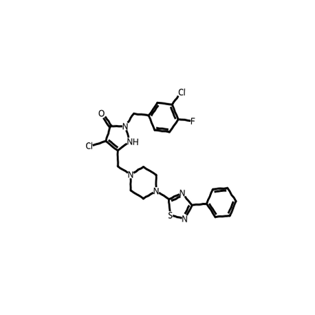 O=c1c(Cl)c(CN2CCN(c3nc(-c4ccccc4)ns3)CC2)[nH]n1Cc1ccc(F)c(Cl)c1